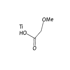 COCC(=O)O.[Ti]